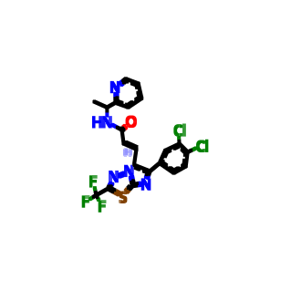 CC(NC(=O)/C=C/c1c(-c2ccc(Cl)c(Cl)c2)nc2sc(C(F)(F)F)nn12)c1ccccn1